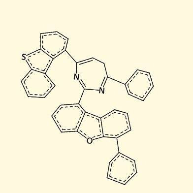 C1=C(c2cccc3sc4ccccc4c23)N=C(c2cccc3oc4c(-c5ccccc5)cccc4c23)N=C(c2ccccc2)C1